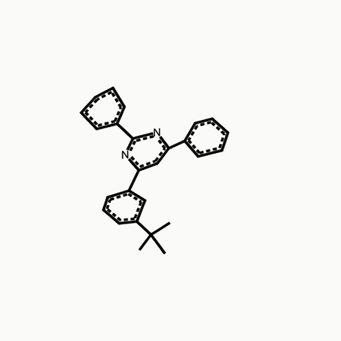 CC(C)(C)c1cccc(-c2cc(-c3ccccc3)nc(-c3ccccc3)n2)c1